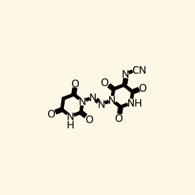 N#CN=C1C(=O)NC(=O)N(N=NN2C(=O)CC(=O)NC2=O)C1=O